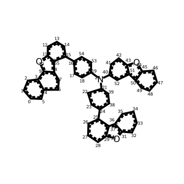 c1ccc2c(c1)ccc1c2oc2cccc(-c3ccc(N(c4ccc(-c5cccc6oc7ccccc7c56)cc4)c4ccc5oc6ccccc6c5c4)cc3)c21